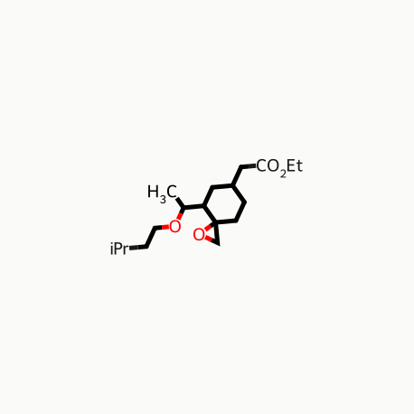 CCOC(=O)CC1CCC2(CO2)C(C(C)OCCC(C)C)C1